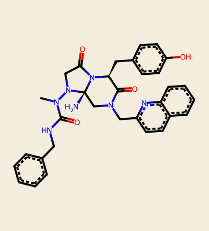 CN(C(=O)NCc1ccccc1)N1CC(=O)N2[C@@H](Cc3ccc(O)cc3)C(=O)N(Cc3ccc4ccccc4n3)C[C@@]21N